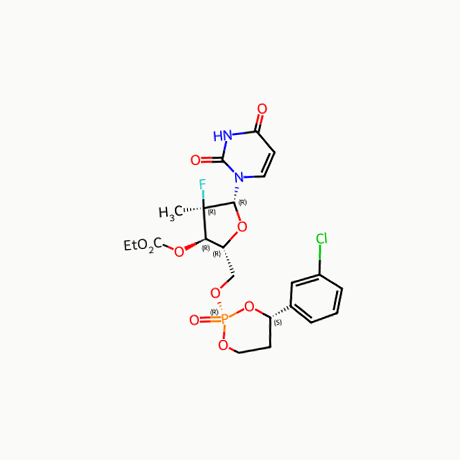 CCOC(=O)O[C@@H]1[C@@H](CO[P@@]2(=O)OCC[C@@H](c3cccc(Cl)c3)O2)O[C@@H](n2ccc(=O)[nH]c2=O)[C@]1(C)F